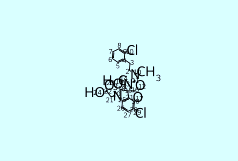 CN(CCc1ccccc1Cl)C(=O)N(C)[C@@]1(C=O)C(=O)N(CC(=O)O)c2ccc(Cl)cc21